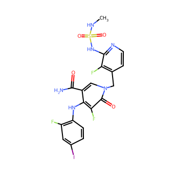 CNS(=O)(=O)Nc1nccc(Cn2cc(C(N)=O)c(Nc3ccc(I)cc3F)c(F)c2=O)c1F